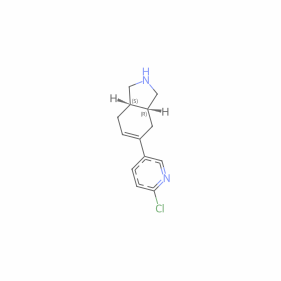 Clc1ccc(C2=CC[C@@H]3CNC[C@@H]3C2)cn1